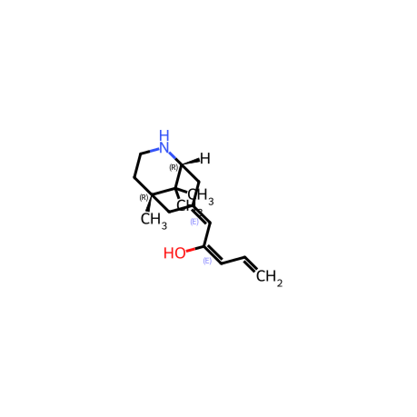 C=C/C=C(O)\C=C1\C[C@H]2NCC[C@@](C)(C1)C2(C)C